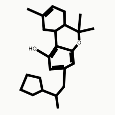 CC1=CCC2C(C1)c1c(O)cc(CC(C)C3CCCC3)cc1OC2(C)C